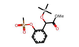 COC(=O)C(O[Si](C)(C)C)c1ccccc1OS(C)(=O)=O